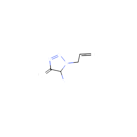 C=CCN1N=NC(=C)C1N